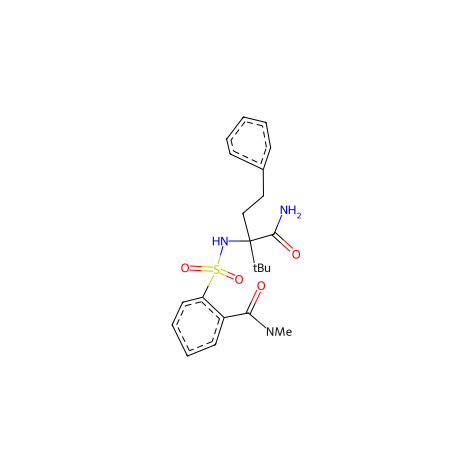 CNC(=O)c1ccccc1S(=O)(=O)NC(CCc1ccccc1)(C(N)=O)C(C)(C)C